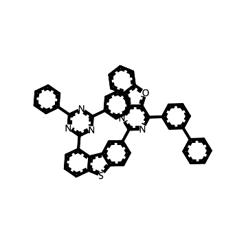 c1ccc(-c2cccc(-c3nc(-c4ccc5sc6cccc(-c7nc(-c8ccccc8)nc(-c8ccccc8)n7)c6c5c4)nc4c3oc3ccccc34)c2)cc1